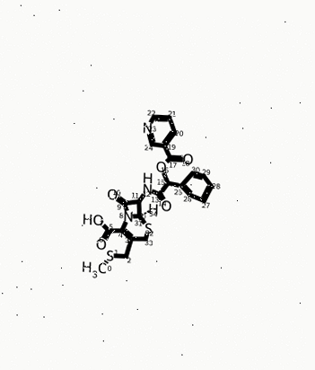 CSCC1=C(C(=O)O)N2C(=O)C(NC(=O)C(OC(=O)c3cccnc3)c3ccccc3)[C@H]2SC1